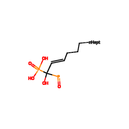 CCCCCCCCCCC=CC(O)(P=O)P(=O)(O)O